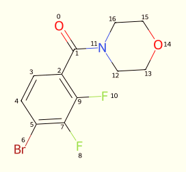 O=C(c1ccc(Br)c(F)c1F)N1CCOCC1